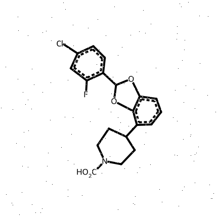 O=C(O)N1CCC(c2cccc3c2OC(c2ccc(Cl)cc2F)O3)CC1